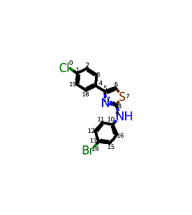 Clc1ccc(-c2csc(Nc3ccc(Br)cc3)n2)cc1